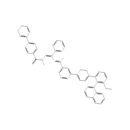 C=C(c1ccc(C2=CCCC=C2)cc1)C(C)/C=C(\N=C(/C)c1cccc(C2=CC=C(c3cccc(CC)c3-c3cccc4ccccc34)CC2)c1)c1ccccc1